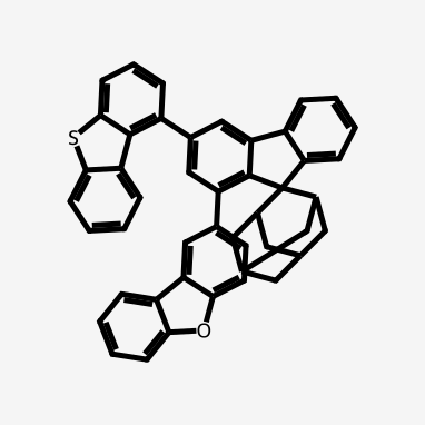 c1ccc2c(c1)-c1cc(-c3cccc4sc5ccccc5c34)cc(-c3ccc4oc5ccccc5c4c3)c1C21C2CC3CC(C2)CC1C3